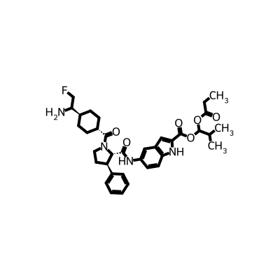 CCC(=O)OC(OC(=O)c1cc2cc(NC(=O)[C@@H]3[C@@H](c4ccccc4)CCN3C(=O)[C@H]3CC[C@H](C(N)CF)CC3)ccc2[nH]1)C(C)C